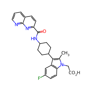 Cc1c(C2CCC(NC(=O)c3ccc4cccnc4n3)CC2)c2cc(F)ccc2n1CC(=O)O